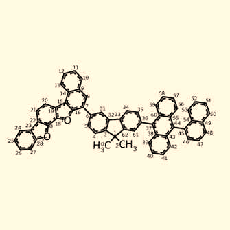 CC1(C)c2ccc(-c3cc4ccccc4c4c3oc3c4ccc4c5ccccc5oc43)cc2-c2ccc(-c3c4ccccc4c(-c4cccc5ccccc45)c4ccccc34)cc21